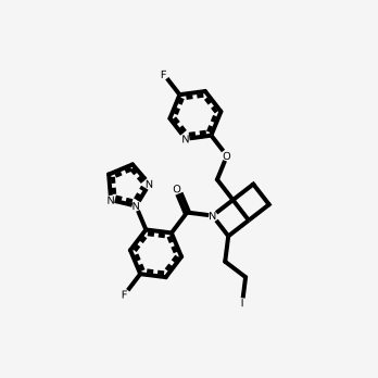 O=C(c1ccc(F)cc1-n1nccn1)N1C(CCI)C2CCC21COc1ccc(F)cn1